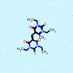 CCN1C(=O)C(=Cc2c(C)n(CC)c(=S)n(CC)c2=O)C(=O)N(CC)C1=S